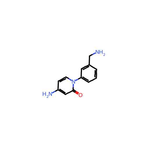 NCc1cccc(-n2ccc(N)cc2=O)c1